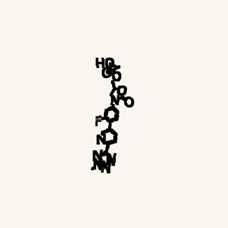 Cn1nnc(-c2ccc(-c3ccc(N4CC(COP(C)(=O)O)OC4=O)cc3F)cn2)n1